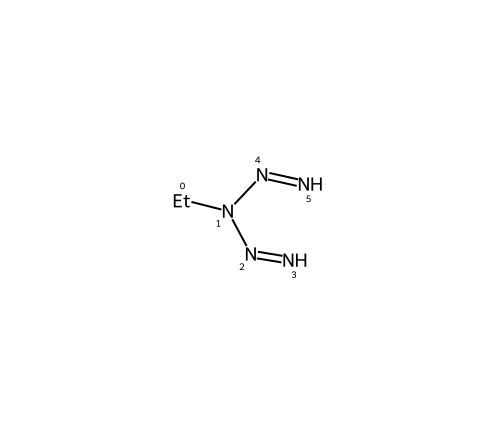 CCN(N=N)N=N